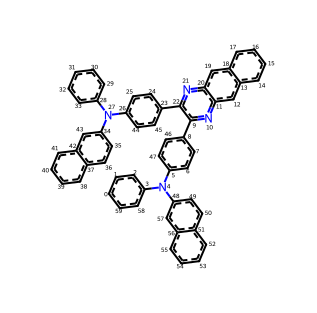 c1ccc(N(c2ccc(-c3nc4cc5ccccc5cc4nc3-c3ccc(N(c4ccccc4)c4ccc5ccccc5c4)cc3)cc2)c2ccc3ccccc3c2)cc1